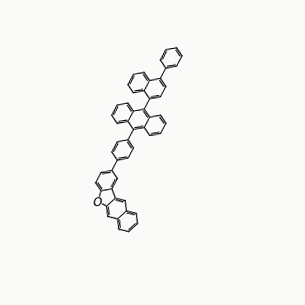 c1ccc(-c2ccc(-c3c4ccccc4c(-c4ccc(-c5ccc6oc7cc8ccccc8cc7c6c5)cc4)c4ccccc34)c3ccccc23)cc1